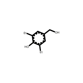 CCc1cc(CO)cc(CC)c1O